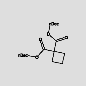 CCCCCCCCCCOC(=O)C1(C(=O)OCCCCCCCCCC)CCC1